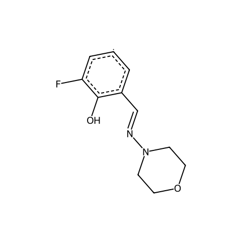 Oc1c(F)c[c]cc1C=NN1CCOCC1